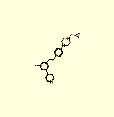 Fc1cc(C=Cc2ccc(N3CCN(CC4CC4)CC3)cc2)cc(-c2ccncc2)c1